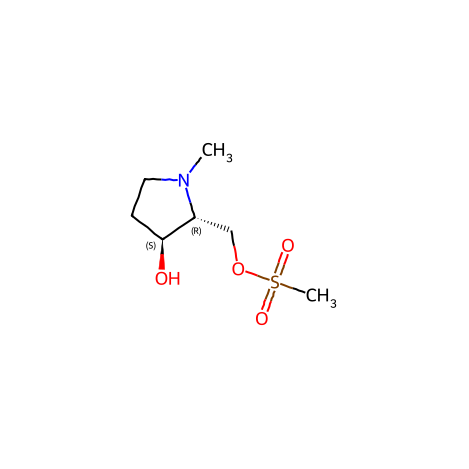 CN1CC[C@H](O)[C@H]1COS(C)(=O)=O